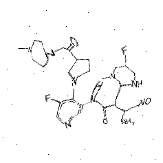 CN1CCN(C(=O)C2CCN(c3c(F)cncc3NC(=O)C(C(N)N=O)C3NCC(F)CN3C)C2)CC1